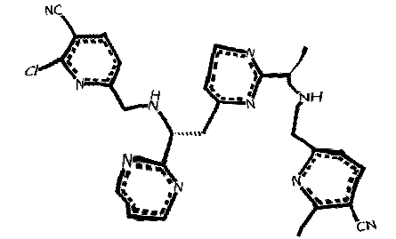 Cc1nc(CN[C@H](C)c2nccc(C[C@@H](NCc3ccc(C#N)c(Cl)n3)c3ncccn3)n2)ccc1C#N